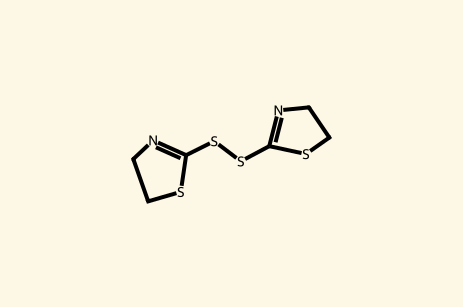 C1CSC(SSC2=NCCS2)=N1